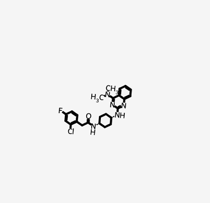 CN(C)c1nc(N[C@H]2CC[C@@H](NC(=O)Cc3ccc(F)cc3Cl)CC2)nc2ccccc12